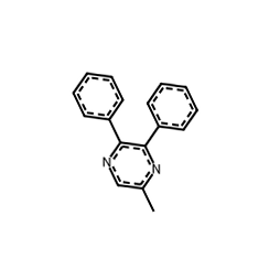 Cc1cnc(-c2ccccc2)c(-c2ccccc2)n1